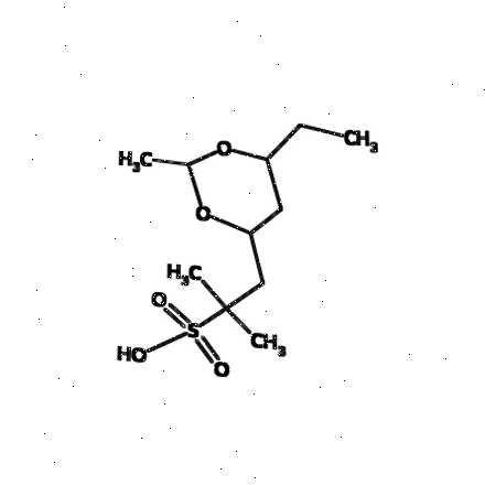 CCC1CC(CC(C)(C)S(=O)(=O)O)OC(C)O1